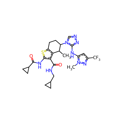 CC1c2c(sc(NC(=O)C3CC3)c2C(=O)NCC2CC2)CCC1n1cnnc1Nc1cc(C(F)(F)F)nn1C